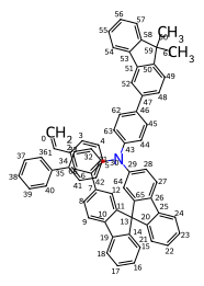 C=Cc1cccc(-c2ccc3c(c2)C2(c4ccccc4-3)c3ccccc3-c3ccc(N(c4ccc(-c5ccccc5)cc4)c4ccc(-c5ccc6c(c5)-c5ccccc5C6(C)C)cc4)cc32)c1